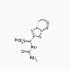 NC(=O)NC(c1nc2ccccc2s1)S(=O)(=O)O